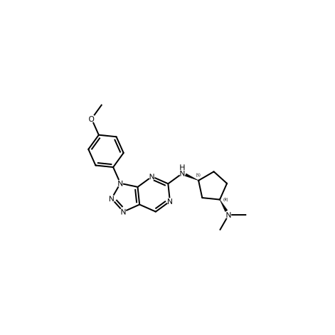 COc1ccc(-n2nnc3cnc(N[C@H]4CC[C@@H](N(C)C)C4)nc32)cc1